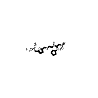 CN(C)Cc1ccc(CSCCNC(C[N+](=O)[O-])NC2CCCC2)o1